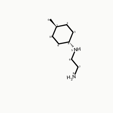 C[C@H]1CC[C@H](NCCN)CC1